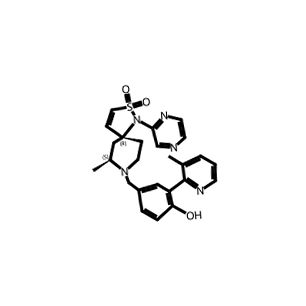 Cc1cccnc1-c1cc(CN2CC[C@]3(C=CS(=O)(=O)N3c3cnccn3)C[C@@H]2C)ccc1O